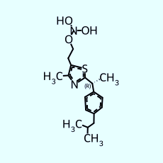 Cc1nc([C@H](C)c2ccc(CC(C)C)cc2)sc1CCON(O)O